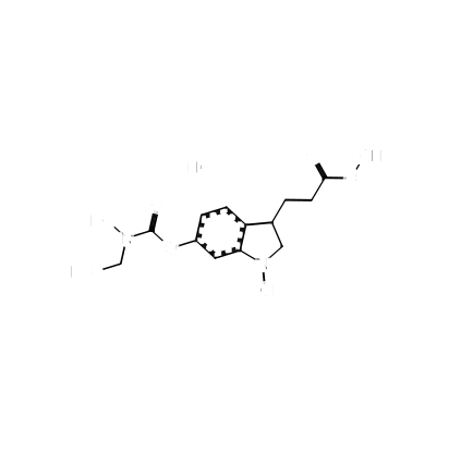 CCN(C)C(=O)Oc1ccc2c(c1)N(C)CC2CCC(=O)OC.Cl